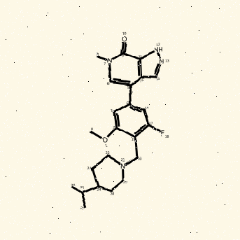 COc1cc(-c2cn(C)c(=O)c3[nH]ncc23)cc(F)c1CN1CCC(C(C)C)CC1